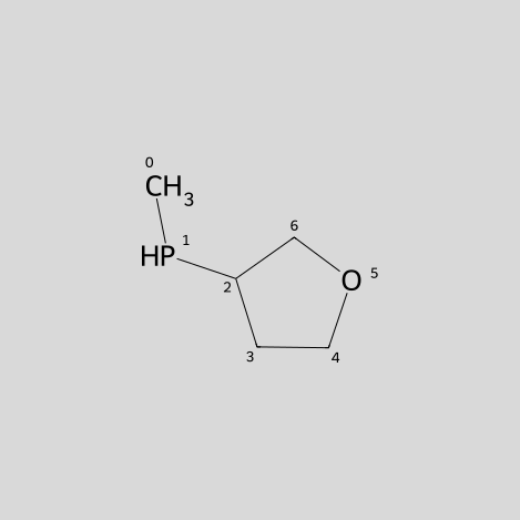 CPC1CCOC1